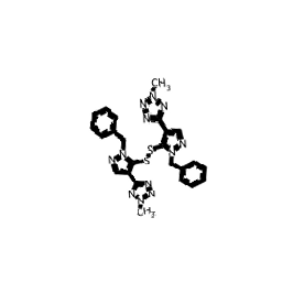 Cn1nnc(-c2cnn(Cc3ccccc3)c2SSc2c(-c3nnn(C)n3)cnn2Cc2ccccc2)n1